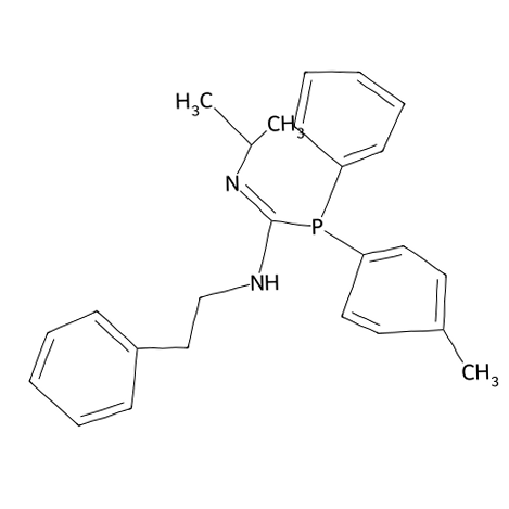 Cc1ccc(P(/C(=N\C(C)C)NCCc2ccccc2)c2ccccc2)cc1